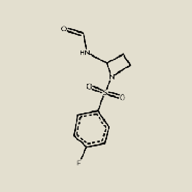 O=CNC1CCN1S(=O)(=O)c1ccc(F)cc1